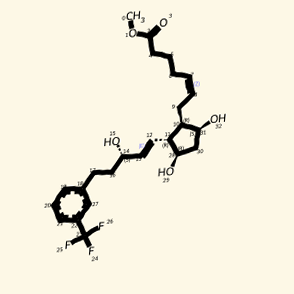 COC(=O)CCC/C=C\C[C@@H]1[C@@H](/C=C/[C@@H](O)CCc2cccc(C(F)(F)F)c2)[C@H](O)C[C@@H]1O